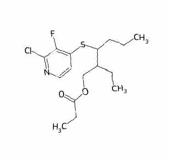 CCCC(Sc1ccnc(Cl)c1F)C(CC)COC(=O)CC